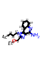 CCOCc1nc2c(N)nc3ccccc3c2n1CCCC(C)=O